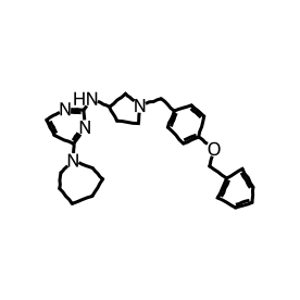 c1ccc(COc2ccc(CN3CCC(Nc4nccc(N5CCCCCC5)n4)C3)cc2)cc1